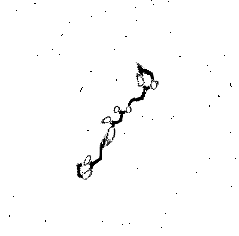 O=C(CC(=O)OCCC1OCCO1)OCCC1OCCO1